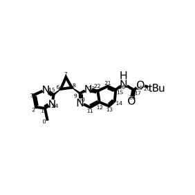 Cc1ccnc([C@H]2C[C@H]2c2ncc3ccc(NC(=O)OC(C)(C)C)cc3n2)n1